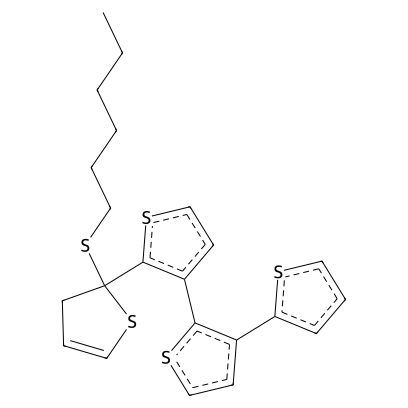 CCCCCCSC1(c2sccc2-c2sccc2-c2cccs2)CC=CS1